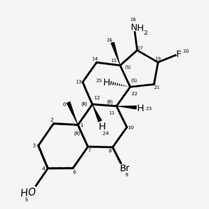 C[C@]12CCC(O)CC1C(Br)C[C@@H]1[C@H]2CC[C@]2(C)C(N)C(F)C[C@@H]12